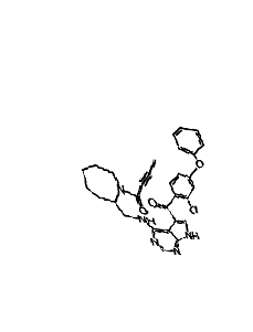 CC#CC(=O)N1CCCCCC1CNc1ncnc2[nH]cc(C(=O)c3ccc(Oc4ccccc4)cc3Cl)c12